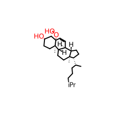 CC(C)CCCC(C)[C@H]1CC[C@H]2[C@@H]3C=C[C@]4(OO)C[C@@H](O)CC[C@]4(C)[C@H]3CC[C@]12C